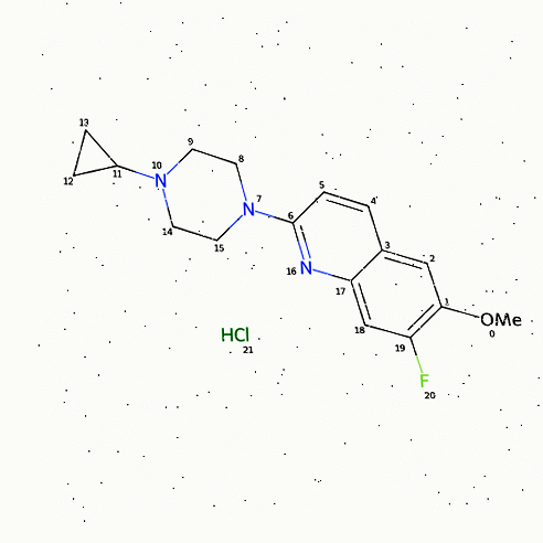 COc1cc2ccc(N3CCN(C4CC4)CC3)nc2cc1F.Cl